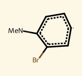 CNc1cc[c]cc1Br